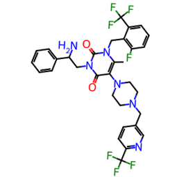 Cc1c(N2CCN(Cc3ccc(C(F)(F)F)nc3)CC2)c(=O)n(CC(N)c2ccccc2)c(=O)n1Cc1c(F)cccc1C(F)(F)F